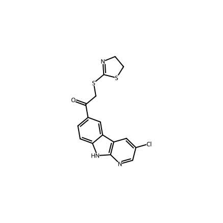 O=C(CSC1=NCCS1)c1ccc2[nH]c3ncc(Cl)cc3c2c1